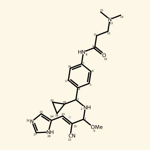 COC(NC(c1ccc(NC(=O)CCN(C)C)cc1)C1CC1)/C(C#N)=C/c1cnc[nH]1